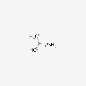 CC(O)[AsH2]